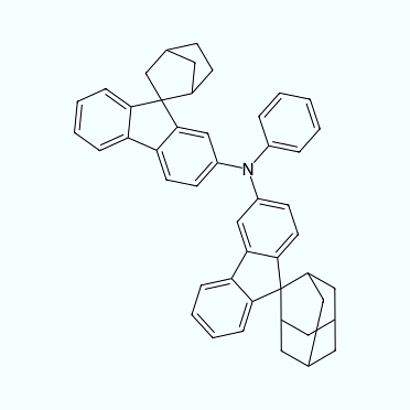 c1ccc(N(c2ccc3c(c2)-c2ccccc2C32C3CC4CC(C3)CC2C4)c2ccc3c(c2)C2(CC4CCC2C4)c2ccccc2-3)cc1